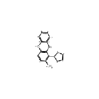 Cc1ccc2c(c1C1CCCC1)[N]c1ccccc1O2